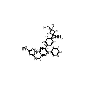 CC(C)c1cc2ncc3cc(-c4ccccc4)c(-c4ccc([C@]5(N)C[C@](C)(O)C5)cc4)nc3n2n1